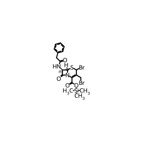 C[Si](C)(C)OC(=O)C1=C(CBr)C(Br)S[C@@H]2[C@H](NC(=O)Cc3ccccc3)C(=O)N12